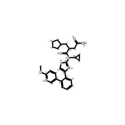 COc1ccc(-c2ccccc2-c2csc(N(C(=O)C(CC(=O)O)CC3CCCC3)C3CC3)n2)cn1